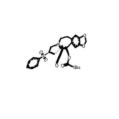 CC(C)(C)C(=O)OC1=C2c3cc4c(cc3CCN3C[C@H](S(=O)(=O)c5ccccc5)C[C@]23CC1=O)OCO4